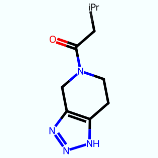 CC(C)CC(=O)N1CCc2[nH]nnc2C1